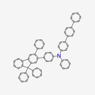 c1ccc(-c2ccc(-c3ccc(N(c4ccccc4)c4ccc(-c5cc6c(cc5-c5ccccc5)-c5ccccc5C6(c5ccccc5)c5ccccc5)cc4)cc3)cc2)cc1